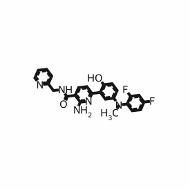 CN(c1ccc(O)c(-c2ccc(C(=O)NCc3ccccn3)c(N)n2)c1)c1ccc(F)cc1F